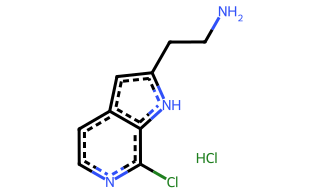 Cl.NCCc1cc2ccnc(Cl)c2[nH]1